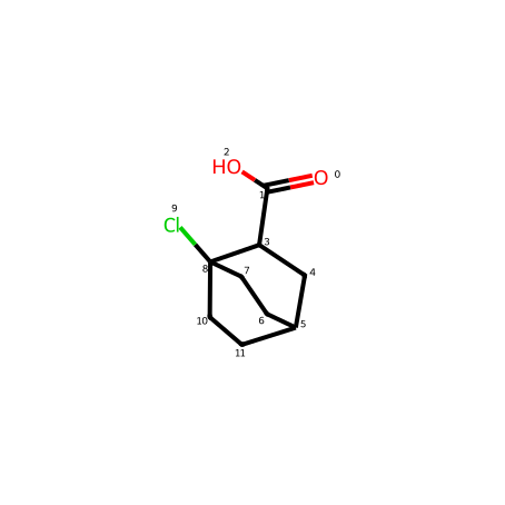 O=C(O)C1CC2CCC1(Cl)CC2